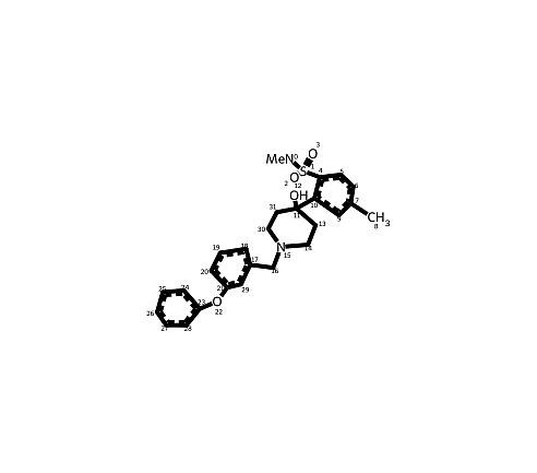 CNS(=O)(=O)c1ccc(C)cc1C1(O)CCN(Cc2cccc(Oc3ccccc3)c2)CC1